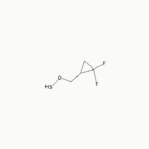 FC1(F)CC1COS